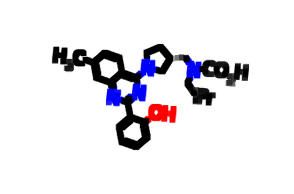 Cc1ccc2c(N3CC[C@H](CN(CC(C)C)C(=O)O)C3)nc(-c3ccccc3O)nc2c1